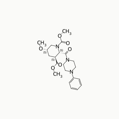 COC(=O)[C@H]1C[C@H](OC)CN(C(=O)OC)[C@@H]1C(=O)N1CCN(c2ccccc2)CC1